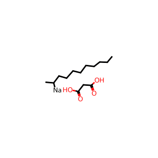 CCCCCCCCC[CH](C)[Na].O=C(O)CC(=O)O